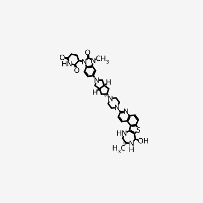 C[C@@H]1CNc2c(sc3ccc4nc(N5CCN([C@@H]6C[C@@H]7CN(c8ccc9c(c8)n(C)c(=O)n9C8CCC(=O)NC8=O)C[C@@H]7C6)CC5)ccc4c23)C(O)N1